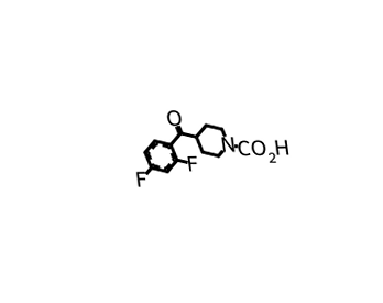 O=C(c1ccc(F)cc1F)C1CCN(C(=O)O)CC1